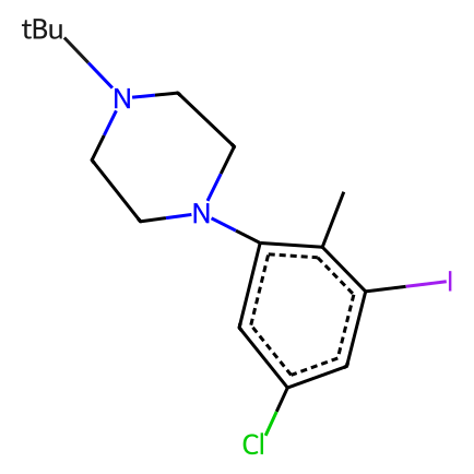 Cc1c(I)cc(Cl)cc1N1CCN(C(C)(C)C)CC1